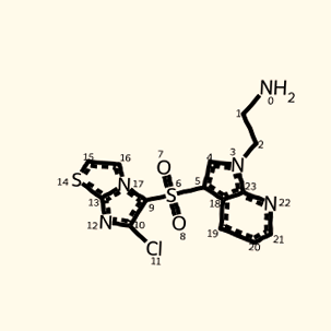 NCCn1cc(S(=O)(=O)c2c(Cl)nc3sccn23)c2cccnc21